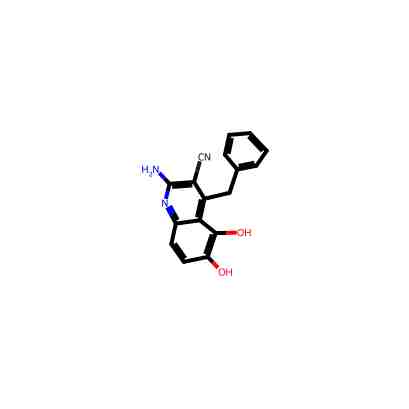 N#Cc1c(N)nc2ccc(O)c(O)c2c1Cc1ccccc1